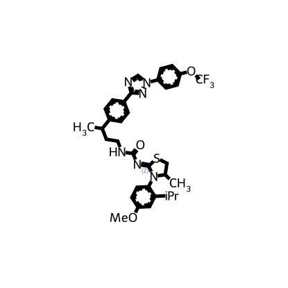 COc1ccc(N2/C(=N/C(=O)NCCC(C)c3ccc(-c4ncn(-c5ccc(OC(F)(F)F)cc5)n4)cc3)SCC2C)c(C(C)C)c1